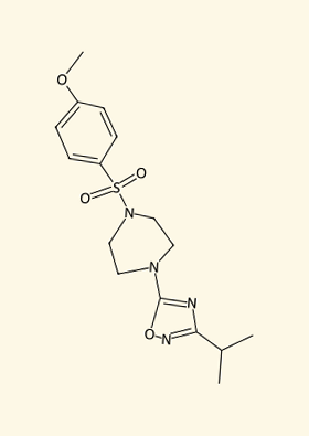 COc1ccc(S(=O)(=O)N2CCN(c3nc(C(C)C)no3)CC2)cc1